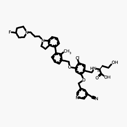 Cc1c(COc2cc(OCc3cncc(C#N)c3)c(CN[C@@H](CCO)C(=O)O)cc2Cl)cccc1-c1cccc2c1CCN2CCCN1CCC(F)CC1